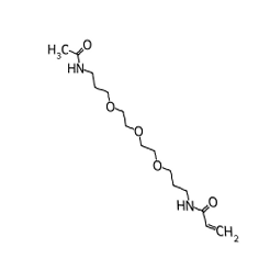 C=CC(=O)NCCCOCCOCCOCCCNC(C)=O